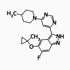 CC1CCN(c2cc(-c3[nH]nc4cc(F)c(OC5(C)CC5)cc34)ncn2)CC1